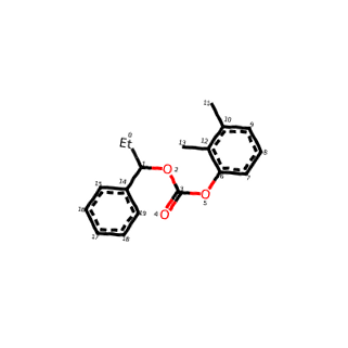 CCC(OC(=O)Oc1cccc(C)c1C)c1ccccc1